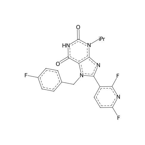 CC(C)n1c(=O)[nH]c(=O)c2c1nc(-c1ccc(F)nc1F)n2Cc1ccc(F)cc1